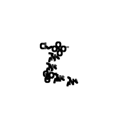 CC[N+](C)(CC)CC.CC[N+](C)(CC)CC.CC[N+](C)(CC)CC.CC[N+](C)(CC)CC.O=C([O-])C(=O)OCCCl.[O-]B([O-])[O-]